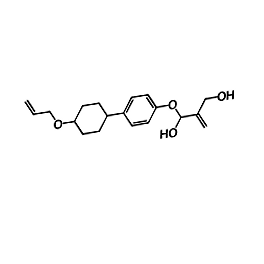 C=CCOC1CCC(c2ccc(OC(O)C(=C)CO)cc2)CC1